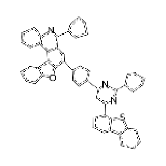 c1ccc(-c2nc(-c3ccc(-c4cc5c(-c6ccccc6)nc6ccccc6c5c5c4oc4ccccc45)cc3)cc(-c3cccc4c3sc3ccccc34)n2)cc1